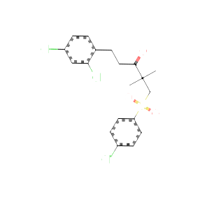 CC(C)(CS(=O)(=O)c1ccc(Cl)cc1)C(=O)CCc1ccc(Cl)cc1Cl